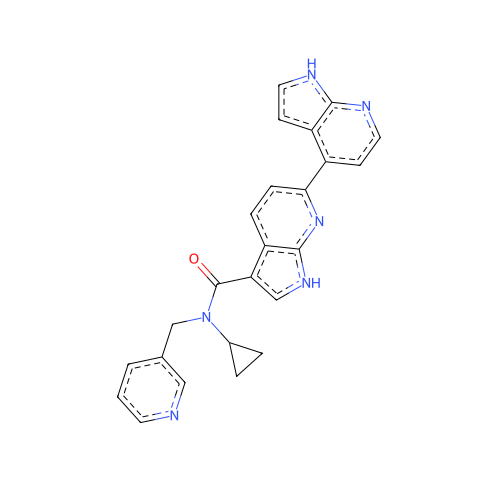 O=C(c1c[nH]c2nc(-c3ccnc4[nH]ccc34)ccc12)N(Cc1cccnc1)C1CC1